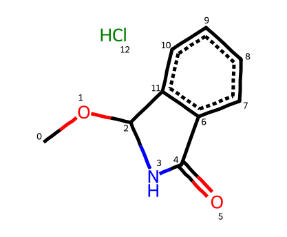 COC1NC(=O)c2ccccc21.Cl